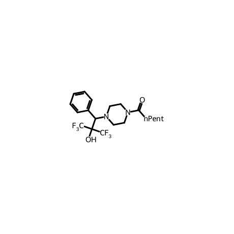 CCCCCC(=O)N1CCN(C(c2ccccc2)C(O)(C(F)(F)F)C(F)(F)F)CC1